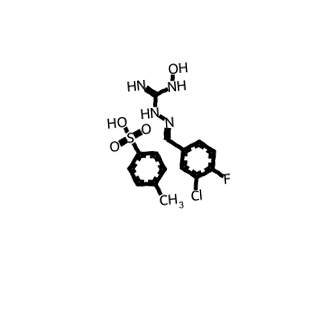 Cc1ccc(S(=O)(=O)O)cc1.N=C(NO)NN=Cc1ccc(F)c(Cl)c1